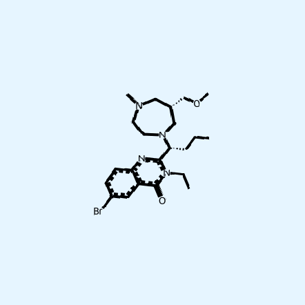 CCC[C@H](c1nc2ccc(Br)cc2c(=O)n1CC)N1CCN(C)C[C@H](COC)C1